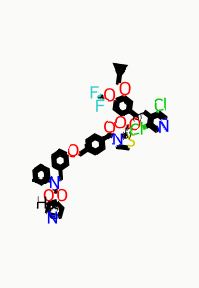 O=C(O[C@@H](Cc1c(Cl)cncc1Cl)c1ccc(OC(F)F)c(OCC2CC2)c1)[C@@H]1SCCN1C(=O)c1ccc(COc2cccc(CN(C(=O)O[C@H]3CN4CCC3CC4)c3ccccc3)c2)cc1